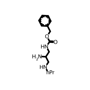 CCCNCC(N)CNC(=O)OCc1ccccc1